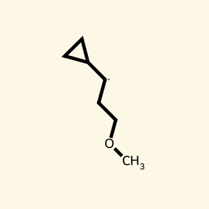 COCC[CH]C1CC1